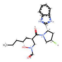 CCCCC[C@H](CN(O)C=O)C(=O)N1C[C@H](F)C[C@H]1c1nc2ccccc2[nH]1